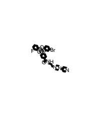 O=C(NCCCN1CCN(c2ccncc2)CC1)c1ccc(S(=O)(=O)N(Oc2ccc(Br)cc2)c2cccc(F)c2)cc1